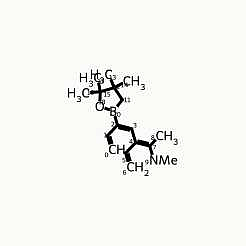 C=C/C(=C\C(C=C)=C(/C)NC)B1CC(C)(C)C(C)(C)O1